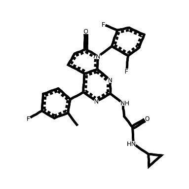 Cc1cc(F)ccc1-c1nc(NCC(=O)NC2CC2)nc2c1ccc(=O)n2-c1c(F)cccc1F